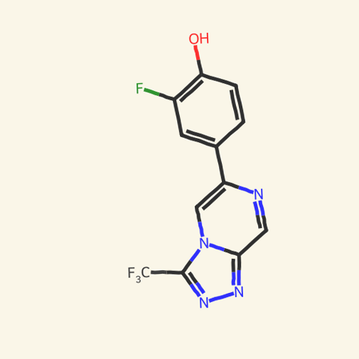 Oc1ccc(-c2cn3c(C(F)(F)F)nnc3cn2)cc1F